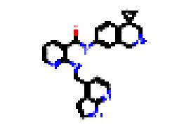 O=C(Nc1ccc2c(c1)CNCC21CC1)c1cccnc1NCc1ccnc2[nH]ccc12